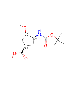 COC(=O)[C@@H]1C[C@H](NC(=O)OC(C)(C)C)[C@H](OC)C1